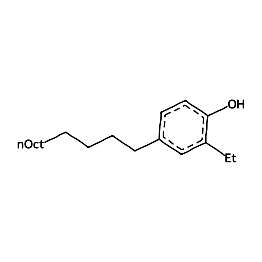 CCCCCCCCCCCCc1ccc(O)c(CC)c1